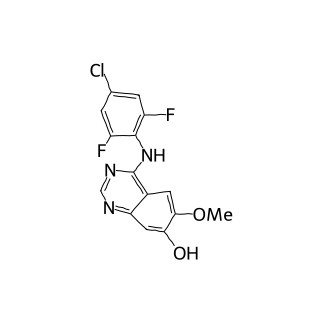 COc1cc2c(Nc3c(F)cc(Cl)cc3F)ncnc2cc1O